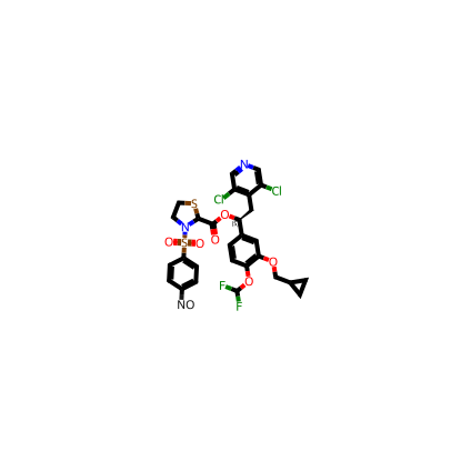 O=Nc1ccc(S(=O)(=O)N2CCSC2C(=O)O[C@@H](Cc2c(Cl)cncc2Cl)c2ccc(OC(F)F)c(OCC3CC3)c2)cc1